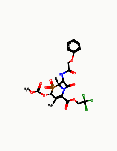 COC(=O)O[C@H]1C(C)=C(C(=O)OCC(Cl)(Cl)Cl)N2C(=O)C(NC(=O)COc3ccccc3)[C@H]2S1(=O)=O